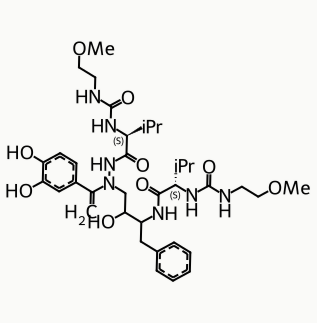 C=C(c1ccc(O)c(O)c1)N(CC(O)C(Cc1ccccc1)NC(=O)[C@@H](NC(=O)NCCOC)C(C)C)NC(=O)[C@@H](NC(=O)NCCOC)C(C)C